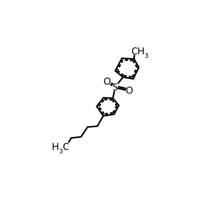 CCCCCc1ccc(S(=O)(=O)c2ccc(C)cc2)cc1